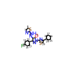 O=C1/C(=N\Nc2nccs2)C(c2ccc(F)cc2)=NN1c1nc(-c2ccccc2)cs1